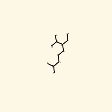 CCC(CCCC(C)C)C(C)C